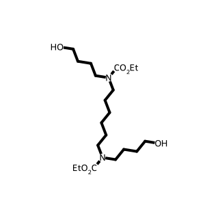 CCOC(=O)N(CCCCO)CCCCCCN(CCCCO)C(=O)OCC